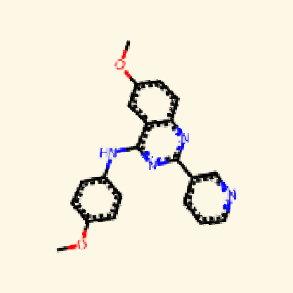 COc1ccc(Nc2nc(-c3cccnc3)nc3ccc(OC)cc23)cc1